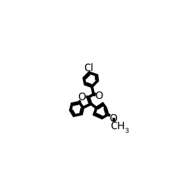 COc1ccc(-c2c(C(=O)c3ccc(Cl)cc3)oc3ccccc23)cc1